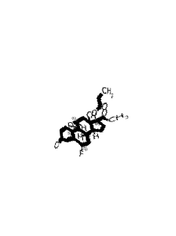 CCC(=O)O[C@]1(C(C)=O)CC[C@H]2[C@@H]3C[C@H](F)C4=CC(=O)C=C[C@]4(C)[C@@]34O[C@H]4C[C@@]21C